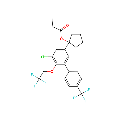 CCC(=O)OC1(c2cc(Cl)c(OCC(F)(F)F)c(-c3ccc(C(F)(F)F)cc3)c2)CCCC1